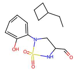 CCC1CCC1.O=CC1CN(c2ccccc2O)S(=O)(=O)N1